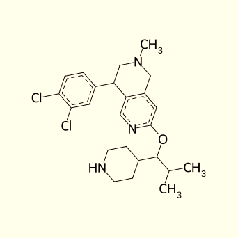 CC(C)C(Oc1cc2c(cn1)C(c1ccc(Cl)c(Cl)c1)CN(C)C2)C1CCNCC1